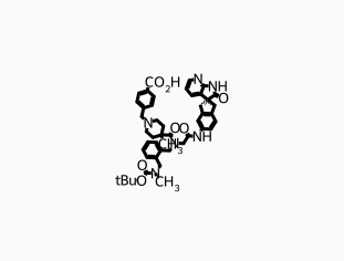 CN(Cc1ccccc1CN(CC(=O)Nc1ccc2c(c1)C[C@@]1(C2)C(=O)Nc2ncccc21)C(=O)C1(C)CCN(Cc2ccc(C(=O)O)cc2)CC1)C(=O)OC(C)(C)C